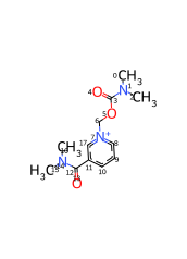 CN(C)C(=O)OC[n+]1cccc(C(=O)N(C)C)c1